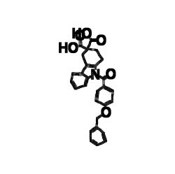 O=C(c1ccc(OCc2ccccc2)cc1)n1c2c(c3ccccc31)CC(C(=O)O)(C(=O)O)CC2